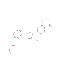 C=CC(=O)N(C)c1cccc(-n2cc(-c3ccc4c(c3)CCNC4=O)c([N+](=O)[O-])n2)c1